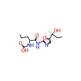 CCCC(NC(=O)O)C(=O)Nc1ncc([C@@](C)(O)CC)o1